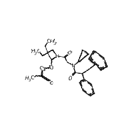 CCC1(CC)CN(C(=O)CN(C(=O)C(c2ccccc2)c2ccccc2)C2CC2)C1OOC(C)=O